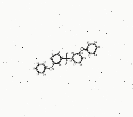 CC(C)(c1cccc(Oc2ccccc2)c1)c1cccc(Oc2ccccc2)c1